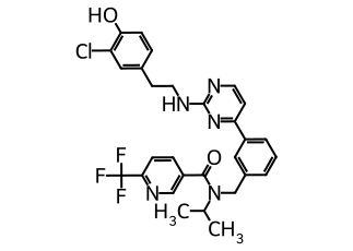 CC(C)N(Cc1cccc(-c2ccnc(NCCc3ccc(O)c(Cl)c3)n2)c1)C(=O)c1ccc(C(F)(F)F)nc1